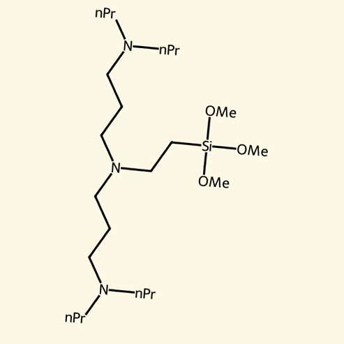 CCCN(CCC)CCCN(CCCN(CCC)CCC)CC[Si](OC)(OC)OC